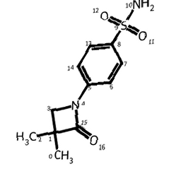 CC1(C)CN(c2ccc(S(N)(=O)=O)cc2)C1=O